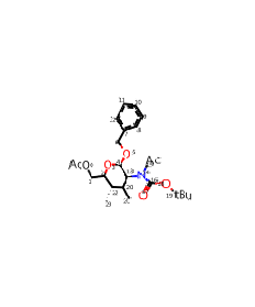 CC(=O)OCC1O[C@@H](OCc2ccccc2)[C@@H](N(C(C)=O)C(=O)OC(C)(C)C)C(C)[C@@H]1C